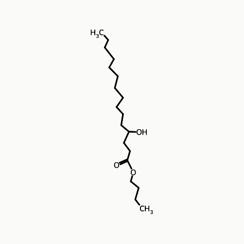 CCCCCCCCCCCC(O)CCC(=O)OCCCC